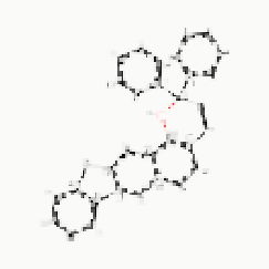 C1=CC(c2ccccc2)(c2ccccc2)Oc2c1ccc1cc3c(cc21)Cc1ccccc1-3